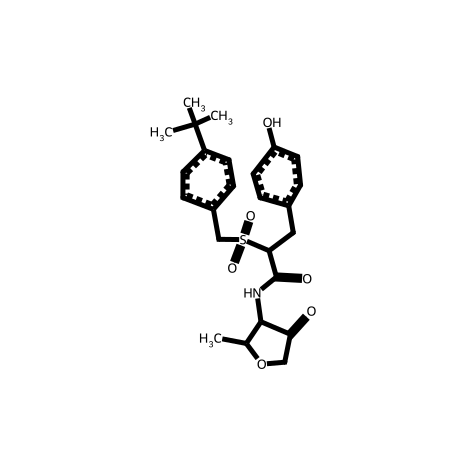 CC1OCC(=O)C1NC(=O)C(Cc1ccc(O)cc1)S(=O)(=O)Cc1ccc(C(C)(C)C)cc1